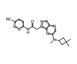 CN(c1cnc2cnn(CC(=O)Nc3ccc(C#N)nn3)c2n1)C1CC(C)(C)C1